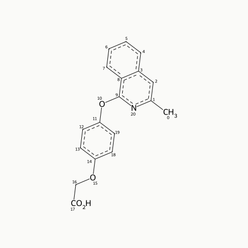 Cc1cc2ccccc2c(Oc2ccc(OCC(=O)O)cc2)n1